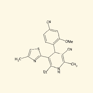 CCC1=C(c2nc(C)cs2)C(c2ccc(C#N)cc2OC)C(C#N)=C(C)N1